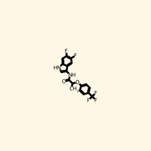 CC(Oc1ccc(C(F)(F)F)cc1)C(=O)Nc1c[nH]c2cc(F)c(F)cc12